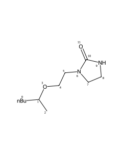 CCCCC(C)OCCN1CCNC1=O